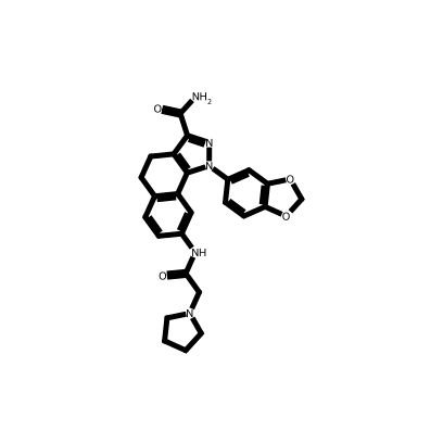 NC(=O)c1nn(-c2ccc3c(c2)OCO3)c2c1CCc1ccc(NC(=O)CN3CCCC3)cc1-2